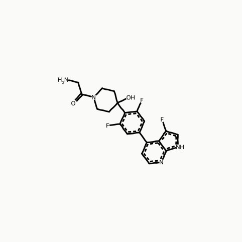 NCC(=O)N1CCC(O)(c2c(F)cc(-c3ccnc4[nH]cc(F)c34)cc2F)CC1